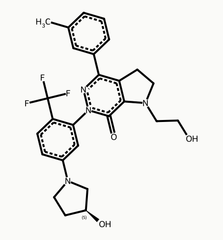 Cc1cccc(-c2nn(-c3cc(N4CC[C@H](O)C4)ccc3C(F)(F)F)c(=O)c3c2CCN3CCO)c1